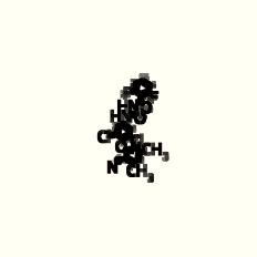 Cc1cc(C)c(C#N)c(Oc2c(Cl)cc(NC(=O)NC(=O)c3c(F)cccc3F)cc2Cl)n1